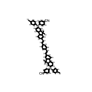 [C-]#[N+]c1ccc(N(c2ccc(C)cc2)c2ccc3c(c2)C(C)(C)c2cc(/C=C/c4ccc(/C=C/c5ccc6c(c5)C(C)(C)c5cc(N(c7ccc(C)cc7)c7ccc(C#N)cc7)ccc5-6)cc4)ccc2-3)cc1